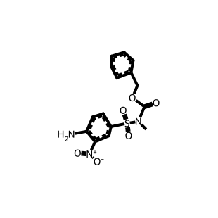 CN(C(=O)OCc1ccccc1)S(=O)(=O)c1ccc(N)c([N+](=O)[O-])c1